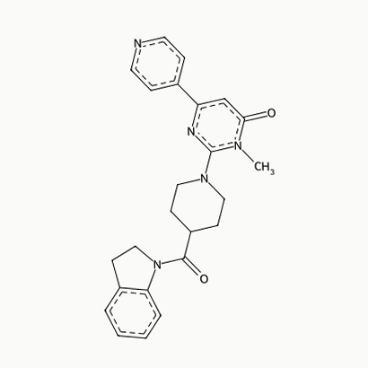 Cn1c(N2CCC(C(=O)N3CCc4ccccc43)CC2)nc(-c2ccncc2)cc1=O